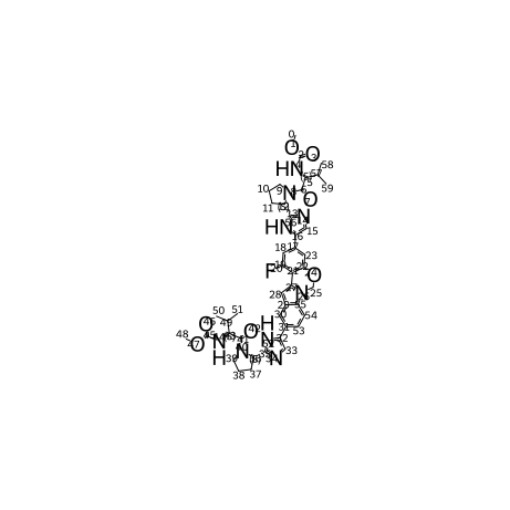 COC(=O)N[C@H](C(=O)N1CCC[C@H]1c1ncc(-c2cc(F)c3c(c2)OCn2c-3cc3cc(-c4cnc([C@@H]5CCCN5C(=O)[C@@H](NC(=O)OC)C(C)C)[nH]4)ccc32)[nH]1)C(C)C